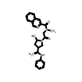 C=C(Nc1ccccc1)C1CC(C#N)N(C(=O)CN(C)C(=O)c2cc3ccccc3cn2)C1